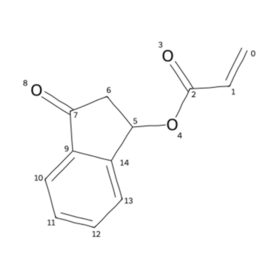 C=CC(=O)OC1CC(=O)c2ccccc21